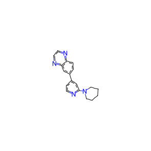 c1cc(-c2ccc3nccnc3c2)cc(N2CCCCC2)n1